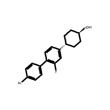 CCCCCCCCCC[C@H]1CC[C@H](c2ccc(-c3ccc(C(C)=O)cc3)c(F)c2)CC1